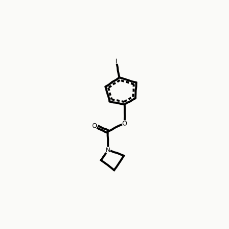 O=C(Oc1ccc(I)cc1)N1CCC1